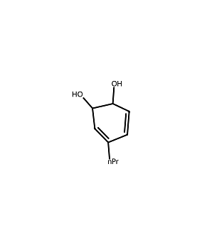 CCCC1=CC(O)C(O)C=C1